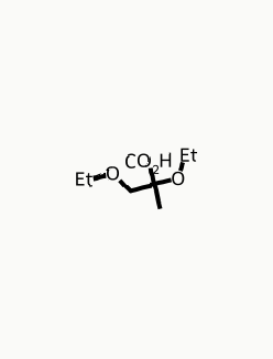 CCOCC(C)(OCC)C(=O)O